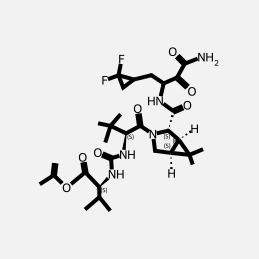 C=C(C)OC(=O)[C@@H](NC(=O)N[C@H](C(=O)N1C[C@H]2[C@@H]([C@H]1C(=O)NC(CC1CC1(F)F)C(=O)C(N)=O)C2(C)C)C(C)(C)C)C(C)C